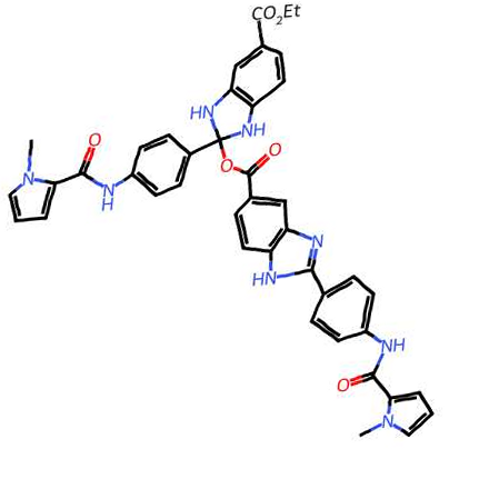 CCOC(=O)c1ccc2c(c1)NC(OC(=O)c1ccc3[nH]c(-c4ccc(NC(=O)c5cccn5C)cc4)nc3c1)(c1ccc(NC(=O)c3cccn3C)cc1)N2